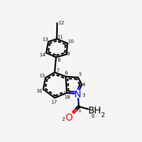 BC(=O)n1ccc2c(-c3ccc(C)cc3)cccc21